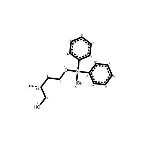 C[C@@H](CO)CCO[Si](c1ccccc1)(c1ccccc1)C(C)(C)C